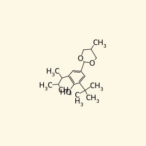 CC1COC(c2cc(C(C)C(C)C)c(O)c(C(C)(C)C)c2)OC1